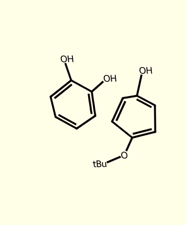 CC(C)(C)Oc1ccc(O)cc1.Oc1ccccc1O